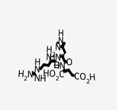 N=C(N)NCCC[C@H](N)C(=O)N[C@@H](Cc1c[nH]cn1)C(=O)N[C@@H](CCC(=O)O)C(=O)O